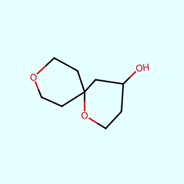 OC1CCOC2(CCOCC2)C1